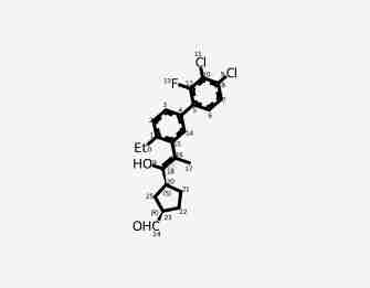 CCc1ccc(-c2ccc(Cl)c(Cl)c2F)cc1/C(C)=C(\O)[C@H]1CC[C@@H](C=O)C1